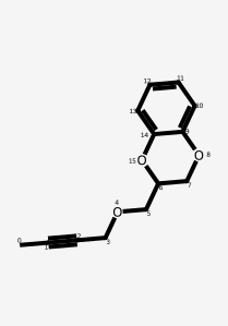 CC#CCOCC1COc2ccccc2O1